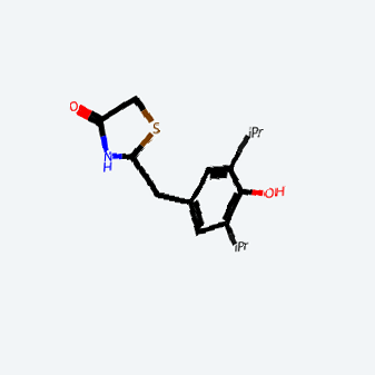 CC(C)c1cc(CC2NC(=O)CS2)cc(C(C)C)c1O